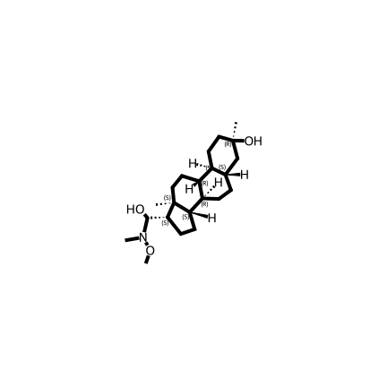 CON(C)C(O)[C@H]1CC[C@H]2[C@@H]3CC[C@H]4C[C@](C)(O)CC[C@@H]4[C@H]3CC[C@]12C